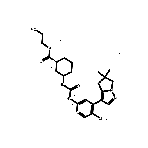 CC1(C)Cc2c(-c3cc(NC(=O)N[C@@H]4CCC[C@H](C(=O)NCCO)C4)ncc3Cl)cnn2C1